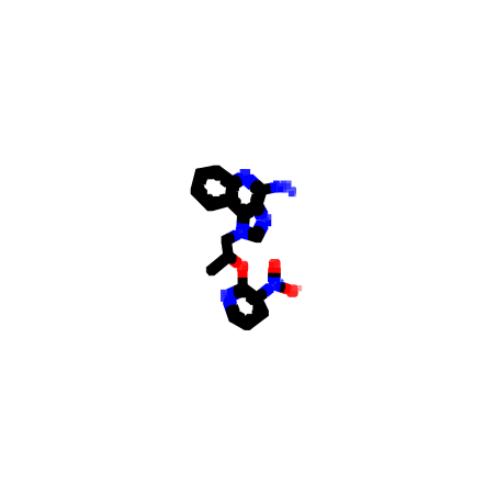 CC(Cn1cnc2c(N)nc3ccccc3c21)Oc1ncccc1[N+](=O)[O-]